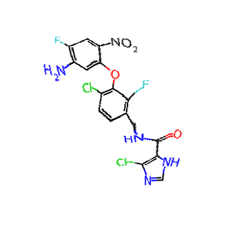 Nc1cc(Oc2c(Cl)ccc(CNC(=O)c3[nH]cnc3Cl)c2F)c([N+](=O)[O-])cc1F